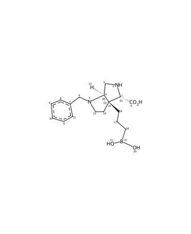 O=C(O)[C@H]1NC[C@@H]2N(Cc3ccccc3)CC[C@@]12CCCB(O)O